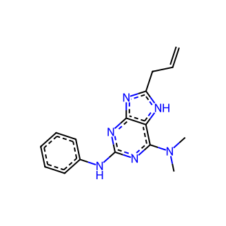 C=CCc1nc2nc(Nc3ccccc3)nc(N(C)C)c2[nH]1